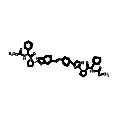 COC(=O)N[C@H](C(=O)N1CCC[C@H]1c1nc(-c2ccc(/C=C/c3ccc4[nH]c([C@@H]5CCCN5C(=O)[C@H](NC(=O)OC)c5ccccc5)nc4c3)cc2)c[nH]1)c1ccccc1